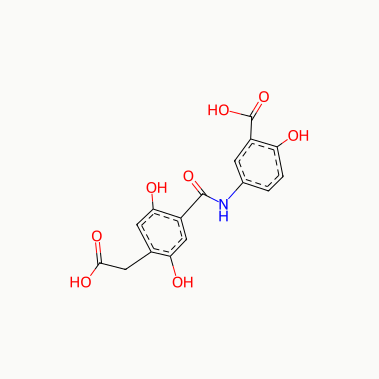 O=C(O)Cc1cc(O)c(C(=O)Nc2ccc(O)c(C(=O)O)c2)cc1O